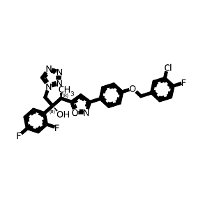 C[C@@H](c1cc(-c2ccc(OCc3ccc(F)c(Cl)c3)cc2)no1)[C@](O)(Cn1cnnn1)c1ccc(F)cc1F